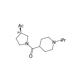 CC(=O)[C@@H]1CCN(C(=O)C2CCN(C(C)C)CC2)C1